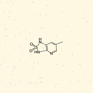 Cc1cnc2c(c1)NS(=O)(=O)N2